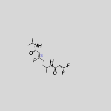 CC(C)NC(=O)/C=C(\F)CCC(C)NC(=O)C=C(F)F